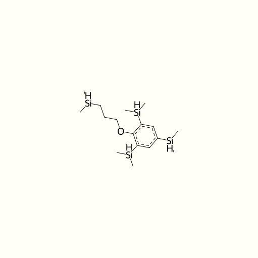 C[SiH](C)CCCOc1c([SiH](C)C)cc([SiH](C)C)cc1[SiH](C)C